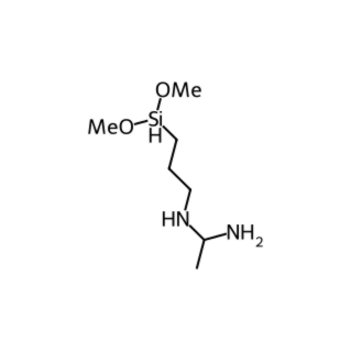 CO[SiH](CCCNC(C)N)OC